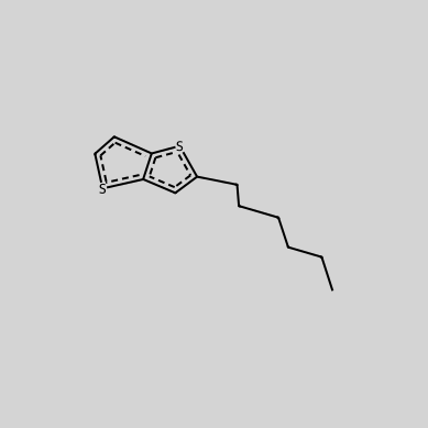 CCCCCCc1cc2sccc2s1